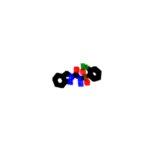 O=C(NS(=O)(=O)c1ccccc1Br)N1CC2CCCCC2=N1